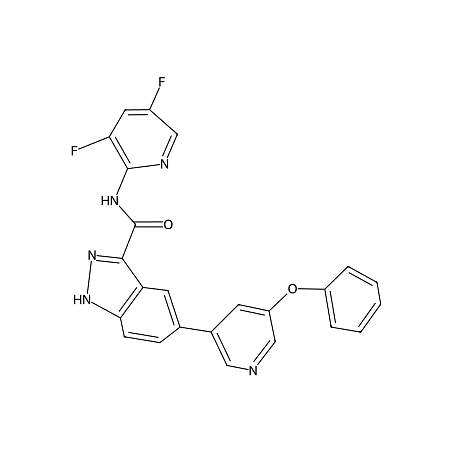 O=C(Nc1ncc(F)cc1F)c1n[nH]c2ccc(-c3cncc(Oc4ccccc4)c3)cc12